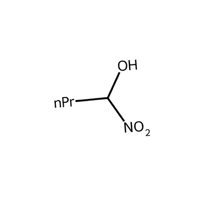 CCCC(O)[N+](=O)[O-]